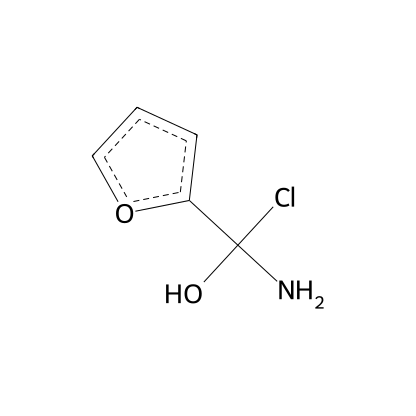 NC(O)(Cl)c1ccco1